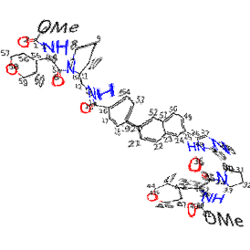 COC(=O)N[C@H](C(=O)N1CCC[C@H]1CNC(=O)c1ccc(-c2ccc3cc(-c4cnc([C@@H]5CCCN5C(=O)[C@@H](NC(=O)OC)C5CCOCC5)[nH]4)ccc3c2)cc1)C1CCOCC1